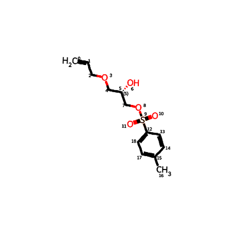 C=CCOC[C@H](O)COS(=O)(=O)c1ccc(C)cc1